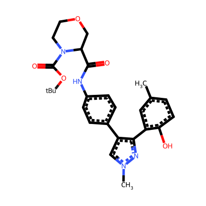 Cc1ccc(O)c(-c2nn(C)cc2-c2ccc(NC(=O)C3COCCN3C(=O)OC(C)(C)C)cc2)c1